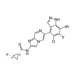 CC(C)c1c(F)c(Cl)c(-c2cn3cc(NC(=O)[C@@H]4C[C@@H]4F)nc3cn2)c2cn[nH]c12